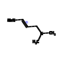 CN/C=C/CN(C)C